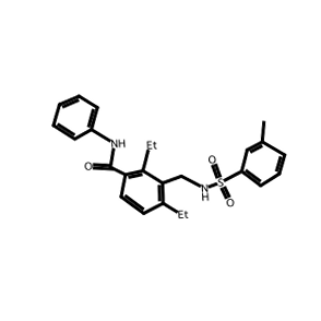 CCc1ccc(C(=O)Nc2ccccc2)c(CC)c1CNS(=O)(=O)c1cccc(C)c1